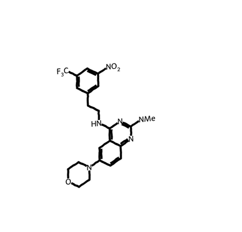 CNc1nc(NCCc2cc([N+](=O)[O-])cc(C(F)(F)F)c2)c2cc(N3CCOCC3)ccc2n1